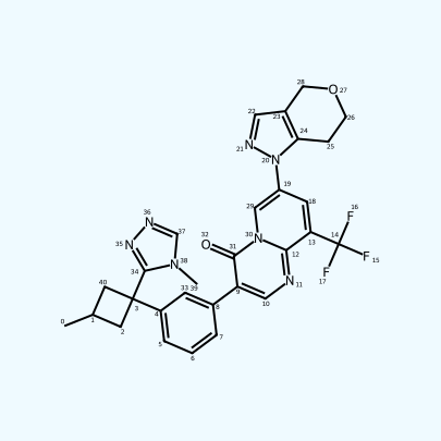 CC1CC(c2cccc(-c3cnc4c(C(F)(F)F)cc(-n5ncc6c5CCOC6)cn4c3=O)c2)(c2nncn2C)C1